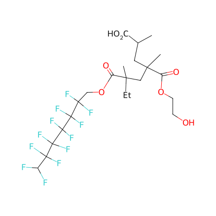 CCC(C)(CC(C)(CC(C)C(=O)O)C(=O)OCCO)C(=O)OCC(F)(F)C(F)(F)C(F)(F)C(F)(F)C(F)(F)C(F)F